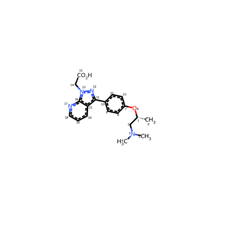 C[C@H](CN(C)C)Oc1ccc(-c2nn(CC(=O)O)c3ncccc23)cc1